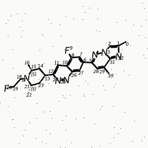 Cc1cn2nc(-c3cc(F)c4cc(C5C[C@H](C)N(CCF)[C@@H](C)C5)nnc4c3)cc(C)c2n1